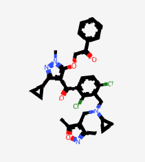 Cc1noc(C)c1CN(Cc1c(Cl)ccc(C(=O)c2c(C3CC3)nn(C)c2OCC(=O)c2ccccc2)c1Cl)C1CC1